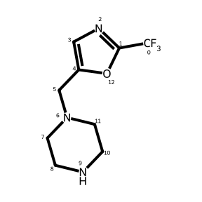 FC(F)(F)c1ncc(CN2CCNCC2)o1